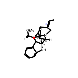 C/C=C1/CC2C[C@@H]3N(C1)[C@H]1CC4(c5ccccc5N[C@@]34O1)N2C(=O)OC